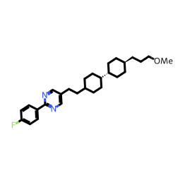 COCCC[C@H]1CC[C@H](C2CCC(CCc3cnc(-c4ccc(F)cc4)nc3)CC2)CC1